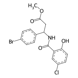 COC(=O)CC(NC(=O)c1cc(Cl)ccc1O)c1ccc(Br)cc1